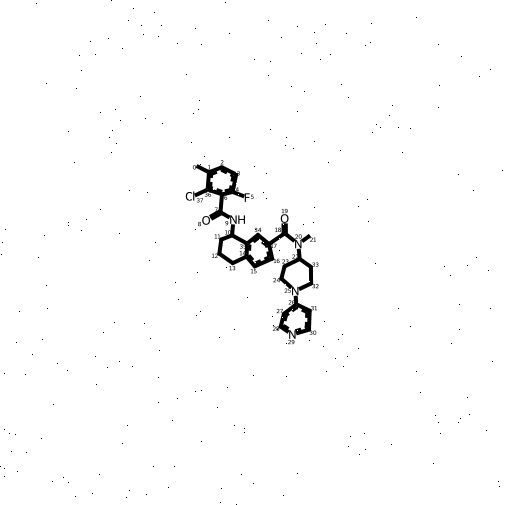 Cc1ccc(F)c(C(=O)NC2CCCc3ccc(C(=O)N(C)C4CCN(c5ccncc5)CC4)cc32)c1Cl